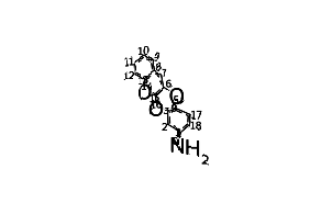 Nc1ccc(Oc2cc3ccccc3oc2=O)cc1